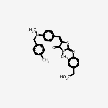 Cc1ccc(CN(C)c2ccc(C=C3SC(=Nc4ccc(CC(=O)O)cc4)N(C)C3=O)cc2)cc1